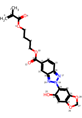 C=C(C)C(=O)OCCCCOC(=O)c1ccc2nn(-c3cc4c(cc3O)OCO4)nc2c1